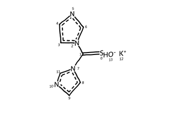 S=C(n1ccnc1)n1ccnc1.[K+].[OH-]